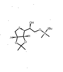 CC1(C)O[C@H]2[C@H]([C@@H](O)CO[Si](C)(C)C(C)(C)C)SC[C@H]2O1